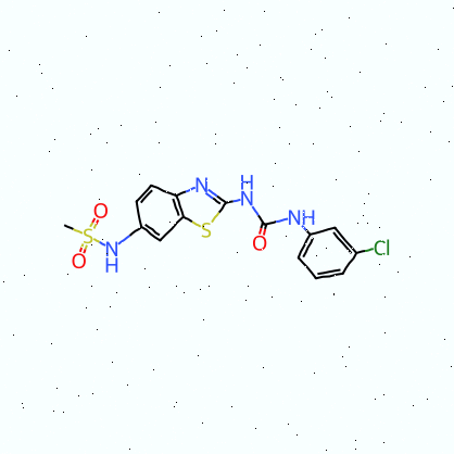 CS(=O)(=O)Nc1ccc2nc(NC(=O)Nc3cccc(Cl)c3)sc2c1